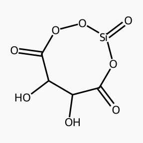 O=C1OO[Si](=O)OC(=O)C(O)C1O